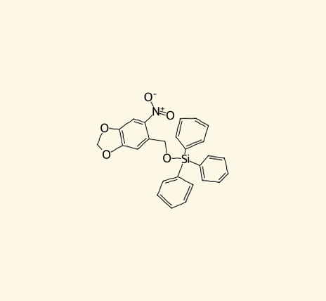 O=[N+]([O-])c1cc2c(cc1CO[Si](c1ccccc1)(c1ccccc1)c1ccccc1)OCO2